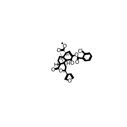 COC(=O)[C@@H]1C=C(OC(=O)c2ccccc2Cl)C(=O)[C@H]2[C@@]1(C)CC[C@H]1C(=O)O[C@H](c3ccoc3)C[C@]21C